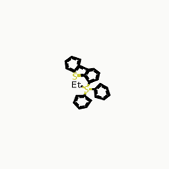 CCS(c1ccccc1)(c1ccccc1)c1cccc2c1sc1ccccc12